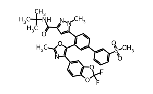 Cc1nc(-c2ccc3c(c2)OC(F)(F)O3)c(-c2cc(-c3cccc(S(C)(=O)=O)c3)ccc2-c2cc(C(=O)NC(C)(C)C)nn2C)o1